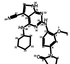 COc1cc(N2CCCC2=O)ccc1Nc1nc(NC2CCCCC2)c2c(C#N)c[nH]c2n1